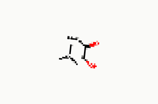 COC(=O)CO.C[Si](C)C